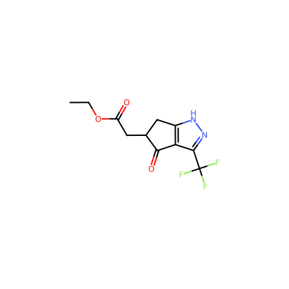 CCOC(=O)CC1Cc2[nH]nc(C(F)(F)F)c2C1=O